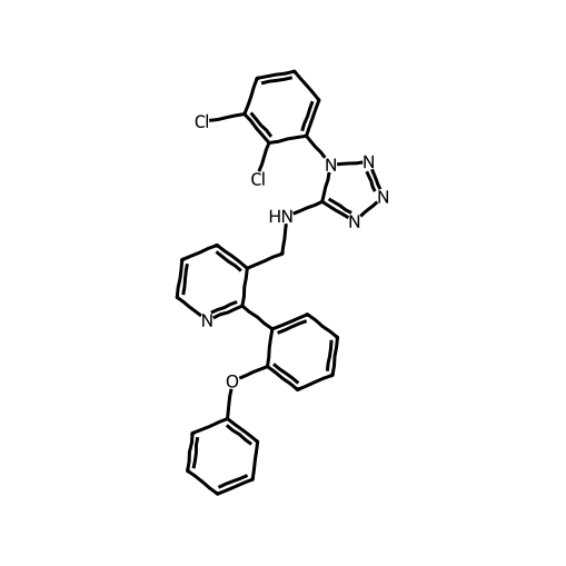 Clc1cccc(-n2nnnc2NCc2cccnc2-c2ccccc2Oc2ccccc2)c1Cl